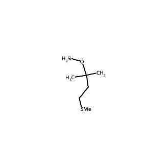 CSCCC(C)(C)O[SiH3]